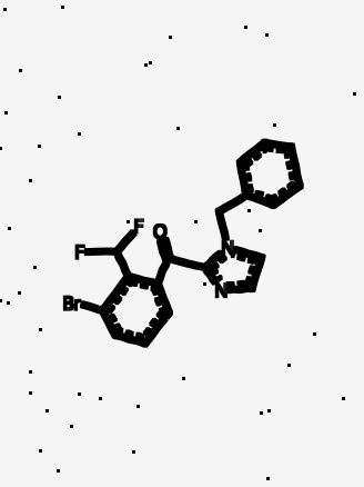 O=C(c1cccc(Br)c1C(F)F)c1nccn1Cc1ccccc1